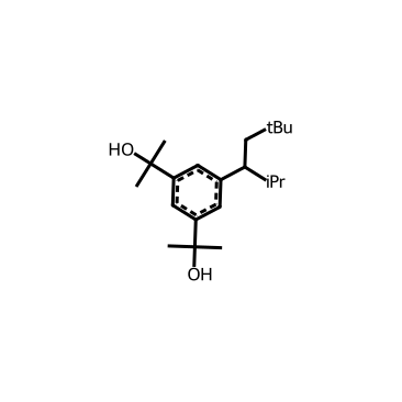 CC(C)C(CC(C)(C)C)c1cc(C(C)(C)O)cc(C(C)(C)O)c1